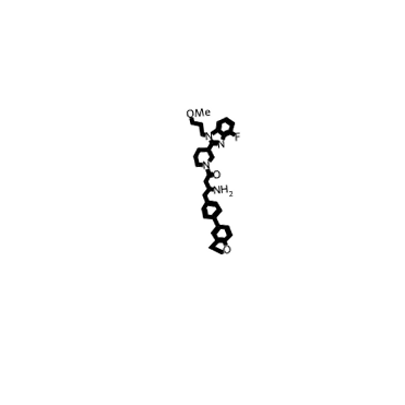 COCCCn1c(C2CCCN(C(=O)CC(N)Cc3ccc(-c4ccc5c(c4)CCO5)cc3)C2)nc2c(F)cccc21